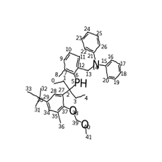 CCC(CC)(Pc1c(C)cccc1CN(c1ccccc1)c1ccccc1)c1cc(C(C)(C)C)cc(C)c1OCOC